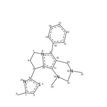 Cc1csc(C2CCn3c(-c4ccccc4)c4c(c32)N(C)CN(C)C4)n1